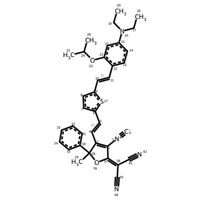 [C-]#[N+]C1=C(/C=C/c2ccc(/C=C/c3ccc(N(CC)CC)cc3OC(C)C)s2)C(C)(c2ccccc2)OC1=C(C#N)C#N